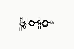 O=C(Nc1ccc(Br)cc1)c1ccc([C@@H]2O[C@H]3CN[C@@H]2C3)cc1